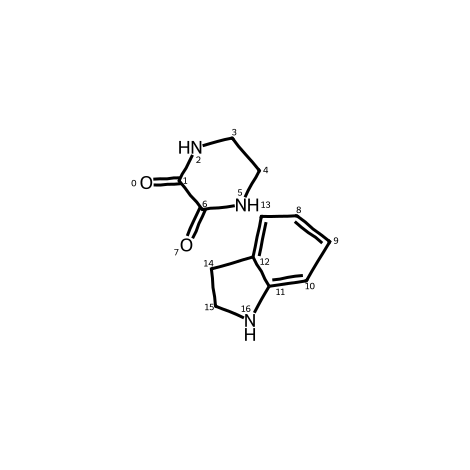 O=C1NCCNC1=O.c1ccc2c(c1)CCN2